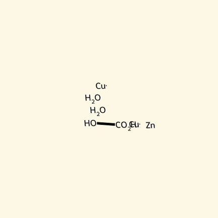 O.O.O=C(O)O.[Cu].[Cu].[Zn]